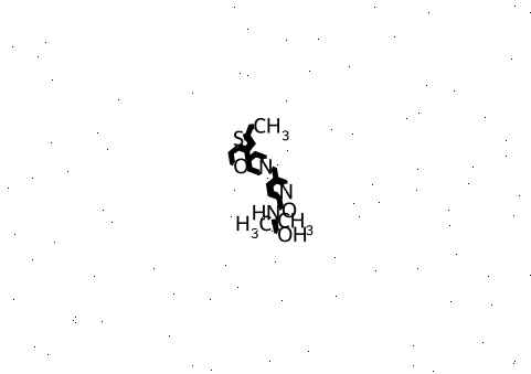 CCc1cc2c(s1)CCOC21CCN(Cc2ccc(C(=O)NC(C)(C)CO)nc2)CC1